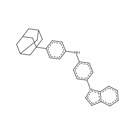 c1ccc2c(c1)ccn2-c1ccc(Nc2ccc(C34CC5CC(CC(C5)C3)C4)cc2)cc1